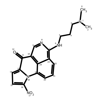 CN(C)CCCNc1ncc2c(=O)c3ccc([N+](=O)[O-])n3c3cccc1c23